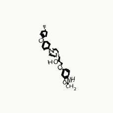 C=C1Nc2ccc(OC[C@@H](O)CN3CCN(c4ccc(Oc5ccc(F)cc5)cc4)CC3)cc2O1